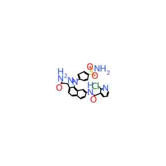 NC(=O)c1nn(-c2ccc(S(N)(=O)=O)cc2)c2c1ccc1ccc(NC(=O)c3cccnc3Cl)cc12